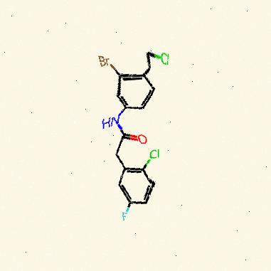 O=C(Cc1cc(F)ccc1Cl)Nc1ccc(CCl)c(Br)c1